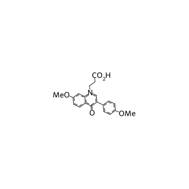 COc1ccc(-c2cn(CCC(=O)O)c3cc(OC)ccc3c2=O)cc1